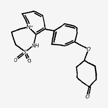 O=C1CCC(Oc2ccc(-c3ccc[n+]4c3NS(=O)(=O)CC4)cc2)CC1